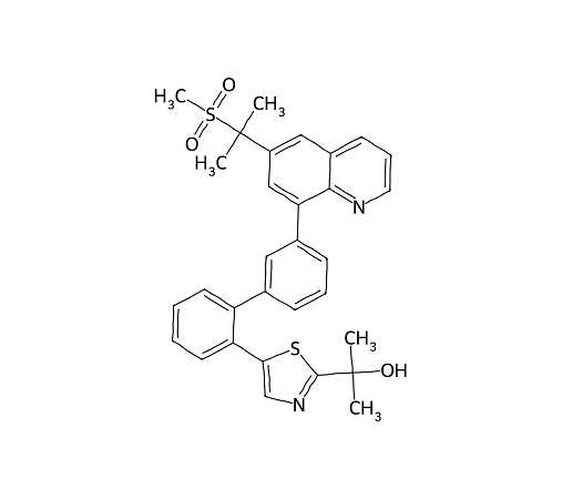 CC(C)(O)c1ncc(-c2ccccc2-c2cccc(-c3cc(C(C)(C)S(C)(=O)=O)cc4cccnc34)c2)s1